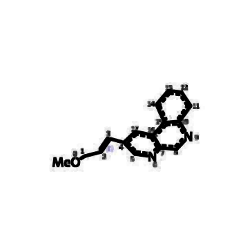 COC/C=C/c1cnc2cnc3ccccc3c2c1